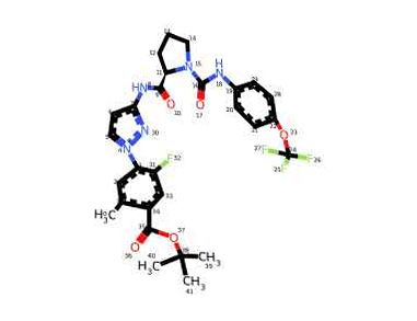 Cc1cc(-n2ccc(NC(=O)[C@H]3CCCN3C(=O)Nc3ccc(OC(F)(F)F)cc3)n2)c(F)cc1C(=O)OC(C)(C)C